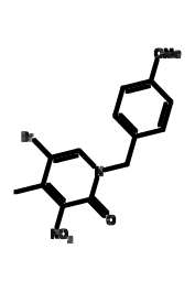 COc1ccc(Cn2cc(Br)c(C)c([N+](=O)[O-])c2=O)cc1